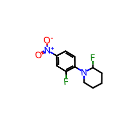 O=[N+]([O-])c1ccc(N2CCCCC2F)c(F)c1